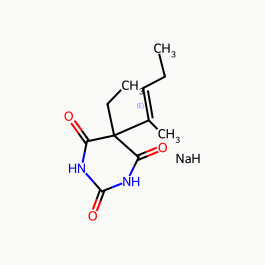 CC/C=C(\C)C1(CC)C(=O)NC(=O)NC1=O.[NaH]